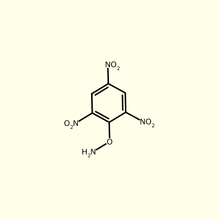 NOc1c([N+](=O)[O-])cc([N+](=O)[O-])cc1[N+](=O)[O-]